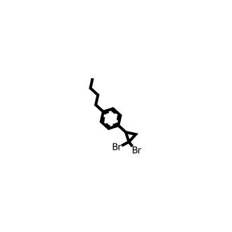 CCCCc1ccc(C2CC2(Br)Br)cc1